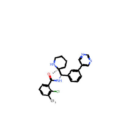 C[C@@]1([C@@H](NC(=O)c2cccc(C(F)(F)F)c2Cl)c2cccc(-c3cncnc3)c2)CCCCN1